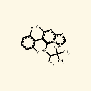 CC(Nc1c(-c2c(F)cccc2Cl)c(Cl)nc2ncnn12)C(C)(C)C